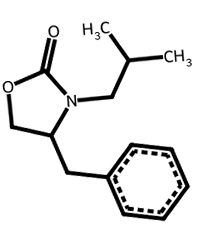 CC(C)CN1C(=O)OCC1Cc1ccccc1